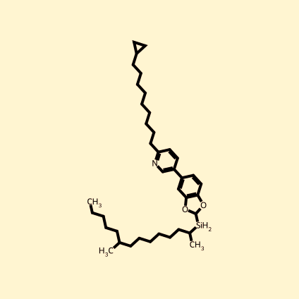 CCCCCC(C)CCCCCCC(C)[SiH2]C1Oc2ccc(-c3ccc(CCCCCCCCCC4CC4)nc3)cc2O1